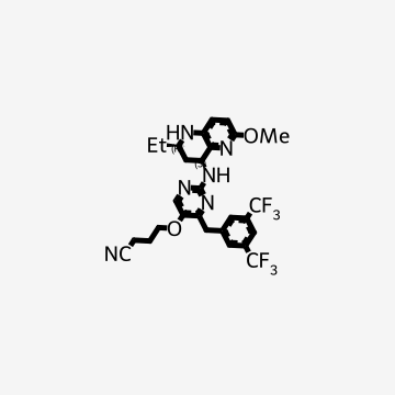 CC[C@@H]1C[C@H](Nc2ncc(OCCCC#N)c(Cc3cc(C(F)(F)F)cc(C(F)(F)F)c3)n2)c2nc(OC)ccc2N1